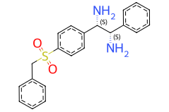 N[C@@H](c1ccccc1)[C@@H](N)c1ccc(S(=O)(=O)Cc2ccccc2)cc1